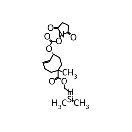 C[SiH](C)CCOC(=O)C1(C)CC/C=C/[C@H](OC(=O)ON2C(=O)CCC2=O)CC1